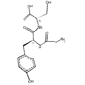 NCC(=O)N[C@@H](Cc1ccc(O)cc1)C(=O)N[C@@H](CO)C(=O)O